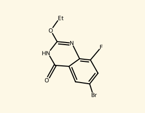 CCOc1nc2c(F)cc(Br)cc2c(=O)[nH]1